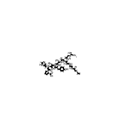 CCC(=O)[C@@H]1CCCN1C(=O)[C@H](Cc1cnc[nH]1)NC(=O)[C@@H](NC(=O)[C@H](Cc1ccc(O)cc1)NC(=O)[C@@H](NC(=O)[C@H](CCCNC(=N)N)NC(=O)CNCCNC(=O)CSCF)C(C)C)C(C)CC